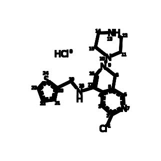 Cl.Clc1cc2c(cn1)CN(N1CCNCC1)C=C2NCc1cccs1